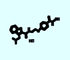 CN(C)Cc1c(C(=O)NCCOc2ccc(C(=O)NO)cc2)oc2ccccc12.Cl